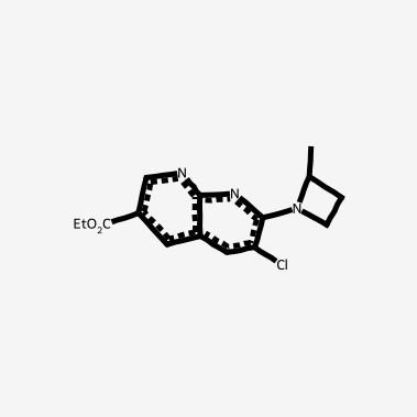 CCOC(=O)c1cnc2nc(N3CCC3C)c(Cl)cc2c1